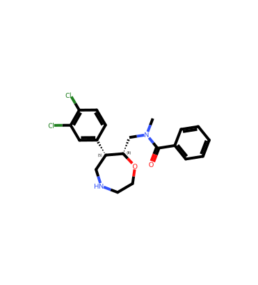 CN(C[C@@H]1OCCNC[C@@H]1c1ccc(Cl)c(Cl)c1)C(=O)c1ccccc1